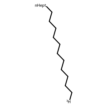 [3H]CCCCCCCCCCCCCCCCCC